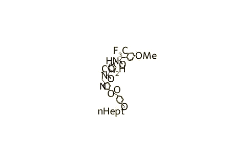 CCCCCCCOc1ccc(C(=O)Oc2ccc(CN(CC(=O)O)C(=O)c3ccc(NC(=O)Cc4ccc(OC)cc4C(F)(F)F)cc3)nc2)cc1